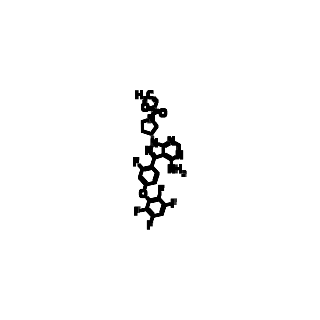 C=CS(=O)(=O)N1CC[C@@H](n2nc(-c3ccc(Oc4c(F)c(F)cc(F)c4F)cc3F)c3c(N)ncnc32)C1